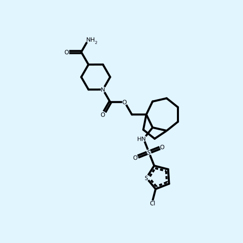 NC(=O)C1CCN(C(=O)OCC23CCCCC(CC2)C3NS(=O)(=O)c2ccc(Cl)s2)CC1